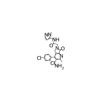 Cc1nc2c(c(-c3ccc(Cl)cc3Cl)c1CN)CN(CC(=O)Nc1ccnn1C)C2=O